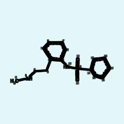 CNCCc1ccccc1NS(=O)(=O)c1ccccc1